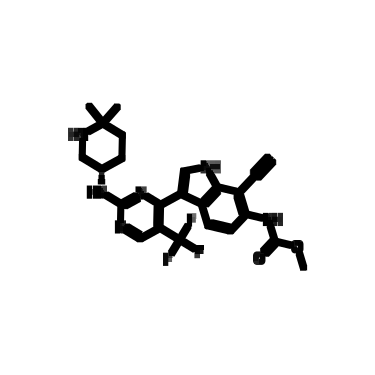 C#Cc1c(NC(=O)OC)ccc2c(-c3nc(N[C@H]4CCC(C)(C)NC4)ncc3C(F)(F)F)c[nH]c12